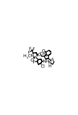 CCC1=C2C(=O)C=CC=C2C(C2NCCS2)=C1Nc1cc(-n2c(=O)cc(C(F)(F)F)n(C)c2=O)c(F)cc1Cl